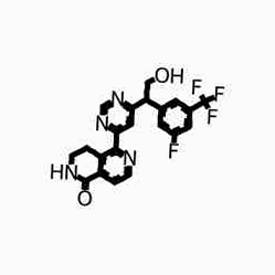 O=C1NCCc2c1ccnc2-c1cc(C(CO)c2cc(F)cc(C(F)(F)F)c2)ncn1